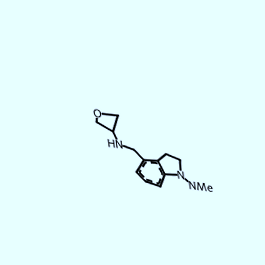 CNN1CCc2c(CNC3COC3)cccc21